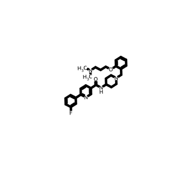 CN(C)CCCOc1ccccc1CN1CCC(NC(=O)c2ccc(-c3cccc(F)c3)nc2)CC1